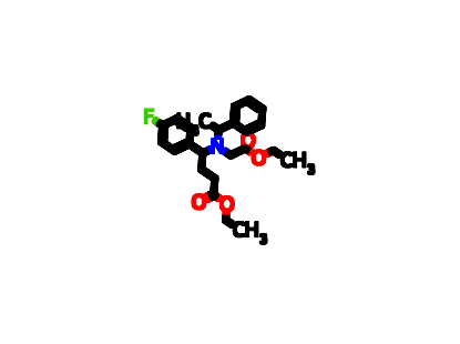 CCOC(=O)CCC(c1ccc(F)cc1)N(CC(=O)OCC)C(C)c1ccccc1